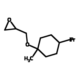 CC(C)C1CCC(C)(OCC2CO2)CC1